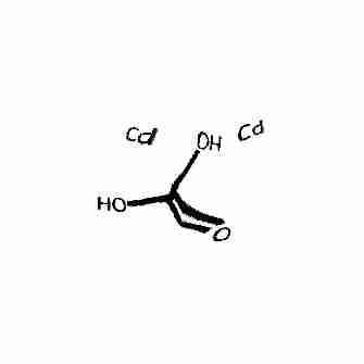 O=C(O)O.[Cd].[Cd]